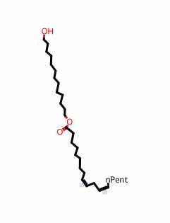 CCCCC/C=C\C/C=C\CCCCCCCC(=O)OCCCCCCCCCCCCCO